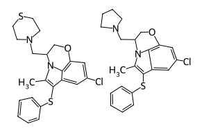 Cc1c(Sc2ccccc2)c2cc(Cl)cc3c2n1C(CN1CCCC1)CO3.Cc1c(Sc2ccccc2)c2cc(Cl)cc3c2n1C(CN1CCSCC1)CO3